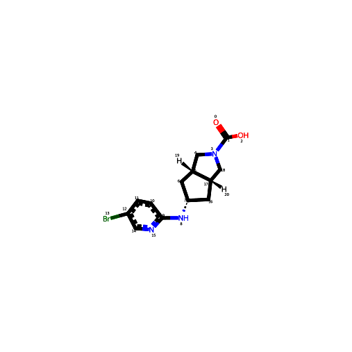 O=C(O)N1C[C@H]2C[C@@H](Nc3ccc(Br)cn3)C[C@H]2C1